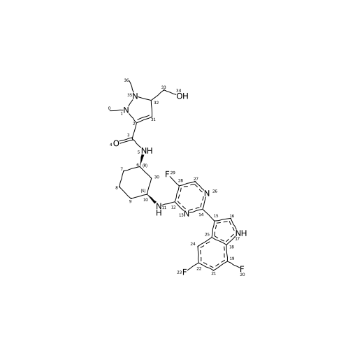 CN1C(C(=O)N[C@@H]2CCC[C@H](Nc3nc(-c4c[nH]c5c(F)cc(F)cc45)ncc3F)C2)=CC(CO)N1C